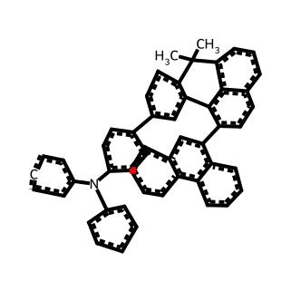 CC1(C)c2ccc(-c3ccc(N(c4ccccc4)c4ccccc4)cc3)cc2-c2c(-c3cc4ccccc4c4ccccc34)ccc3cccc1c23